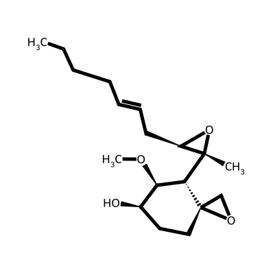 CCCC/C=C/C[C@H]1O[C@]1(C)[C@H]1[C@H](OC)[C@H](O)CC[C@]12CO2